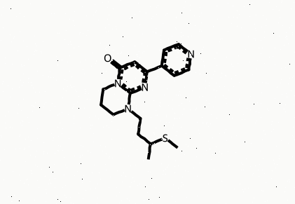 CSC(C)CCN1CCCn2c1nc(-c1ccncc1)cc2=O